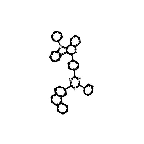 c1ccc(-c2nc(-c3ccc(-c4nc5ccccc5c5c4c4ccccc4n5-c4ccccc4)cc3)nc(-c3ccc4ccc5ccccc5c4c3)n2)cc1